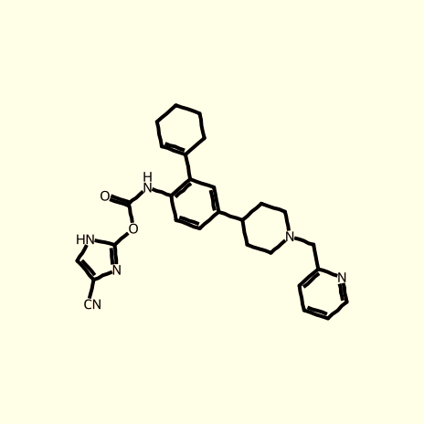 N#Cc1c[nH]c(OC(=O)Nc2ccc(C3CCN(Cc4ccccn4)CC3)cc2C2=CCCCC2)n1